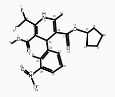 COC(=O)C1=C(C(F)F)NC(C)=C(C(=O)OC2CCCC2)C1c1cccc([N+](=O)[O-])c1C